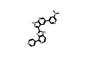 CN(C)c1cncc(-c2cnc3[nH]nc(-c4nc5c(-c6ccncc6)nccc5[nH]4)c3c2)c1